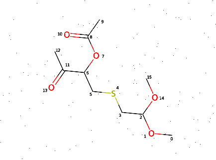 COC(CSCC(OC(C)=O)C(C)=O)OC